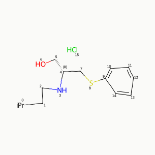 CC(C)CCN[C@H](CO)CSc1ccccc1.Cl